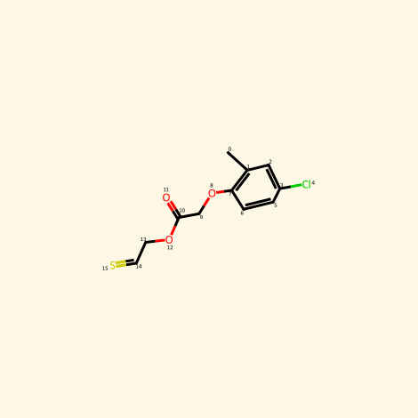 Cc1cc(Cl)ccc1OCC(=O)OCC=S